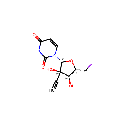 C#C[C@@]1(O)[C@H](O)[C@@H](CI)O[C@H]1n1ccc(=O)[nH]c1=O